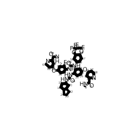 CNC(=O)c1cc(Oc2ccc(NC(=O)Nc3ccc4c(c3)CCC4)cc2)ccn1.NC(=O)c1cc(Oc2ccc(NC(=O)Nc3ccc4c(c3)OC(F)(F)C(F)(F)O4)c(F)c2)ccn1